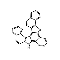 c1ccc2c(c1)ccc1c2sc2c3ccccc3c3[nH]c4ccc5ccccc5c4c3c12